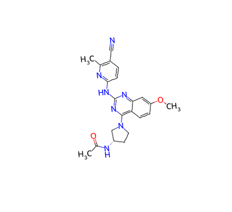 COc1ccc2c(N3CC[C@H](NC(C)=O)C3)nc(Nc3ccc(C#N)c(C)n3)nc2c1